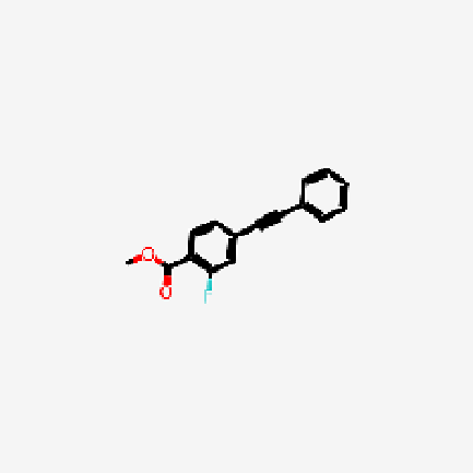 COC(=O)c1ccc(C#Cc2ccccc2)cc1F